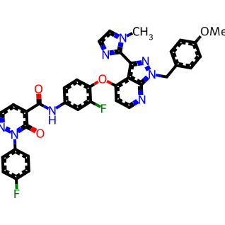 COc1ccc(Cn2nc(-c3nccn3C)c3c(Oc4ccc(NC(=O)c5ccnn(-c6ccc(F)cc6)c5=O)cc4F)ccnc32)cc1